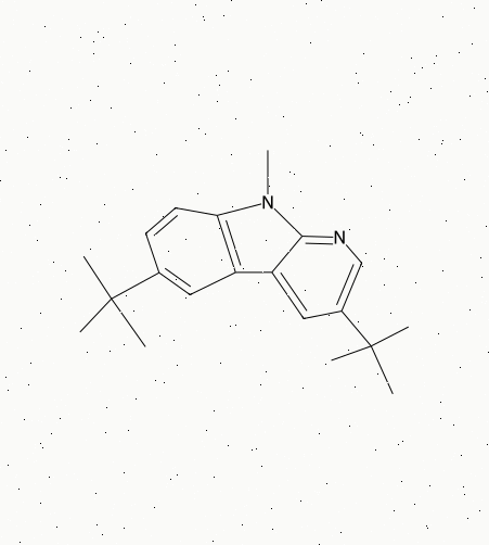 Cn1c2ccc(C(C)(C)C)cc2c2cc(C(C)(C)C)cnc21